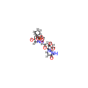 COC(=O)[C@H](C)NP(=O)(OCC1C[C@@]2(CCO2)C(n2ccc(=O)[nH]c2=O)O1)Oc1ccccc1